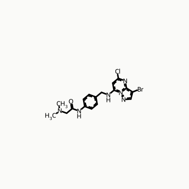 CN(C)CC(=O)Nc1ccc(CNc2cc(Cl)nc3c(Br)cnn23)cc1